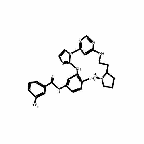 Cc1ccc(NC(=O)c2cccc(C(F)(F)F)c2)cc1Nc1nccn1-c1cc(NCCC2CCCN2C)ncn1